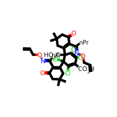 C=CCON=C(CCC)C1=C(C2(Cl)C(Cl)=C(C(=O)O)C(Cl)=C(Cl)C2(C(=O)O)C2=C(C(CCC)=NOCC=C)C(=O)CC(C)(C)C2)CC(C)(C)CC1=O